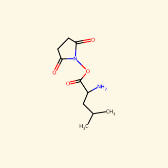 CC(C)CC(N)C(=O)ON1C(=O)CCC1=O